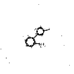 Cc1csc(-c2ccccc2N)c1